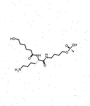 C[P@@](=O)(O)OCCCCNC(=O)[C@H](CCCCN)NC(=O)CCCCCO